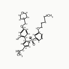 CCCCCOc1cccc(S(=O)(=O)n2cc(CNC)cc2-c2ccc(OCC3CCOCC3)cc2F)c1